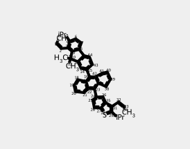 C/C=C\c1c(C(C)C)ccc2c1C(C)(C)c1cc(-c3c4ccccc4c(-c4ccc5sc(C(C)C)c(/C=C\C)c5c4)c4ccccc34)ccc1-2